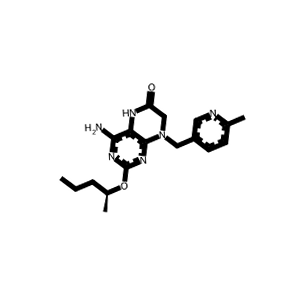 CCC[C@H](C)Oc1nc(N)c2c(n1)N(Cc1ccc(C)nc1)CC(=O)N2